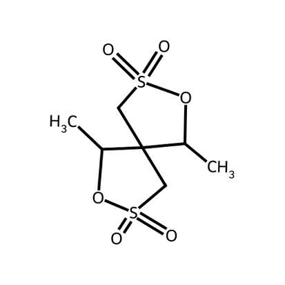 CC1OS(=O)(=O)CC12CS(=O)(=O)OC2C